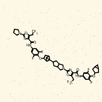 O=C(Nc1cc(F)c(OC2CC3C4C2C34C2CC3CN(c4nc(C(=O)Nc5cc(F)c(OC6CC7CC7C6)c(F)c5)c(CC(F)(F)F)o4)CC3C2)c(F)c1)c1nc(N2CCCC2)oc1CC(F)(F)F